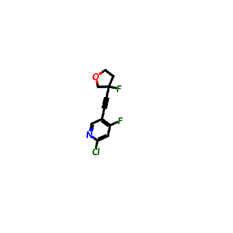 Fc1cc(Cl)ncc1C#CC1(F)CCOC1